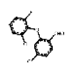 O=Cc1ccc(Cl)cc1Oc1c(F)cccc1Cl